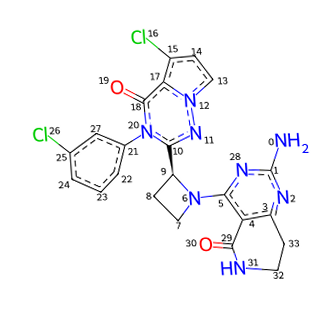 Nc1nc2c(c(N3CC[C@H]3c3nn4ccc(Cl)c4c(=O)n3-c3cccc(Cl)c3)n1)C(=O)NCC2